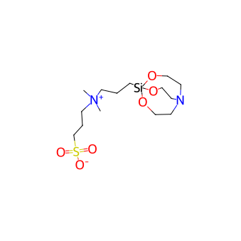 C[N+](C)(CCC[Si]12OCCN(CCO1)CCO2)CCCS(=O)(=O)[O-]